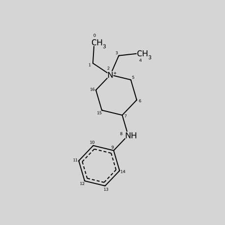 CC[N+]1(CC)CCC(Nc2ccccc2)CC1